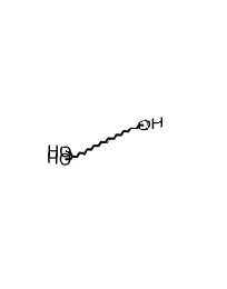 OCCCCCCCCCCCCCCCCCCC(CO)CO